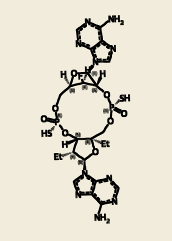 CC[C@H]1[C@H](n2cnc3c(N)ncnc32)O[C@]2(CC)CO[P@@](=O)(S)O[C@@H]3[C@H](F)[C@@H](CO[P@@](=O)(S)O[C@@H]12)O[C@H]3n1cnc2c(N)ncnc21